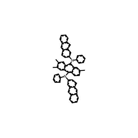 Cc1ccc2c(N(c3ccccc3)c3ccc4cc5ccccc5cc4c3)c3cc(C)c(C)cc3c(N(c3ccccc3)c3ccc4cc5ccccc5cc4c3)c2c1